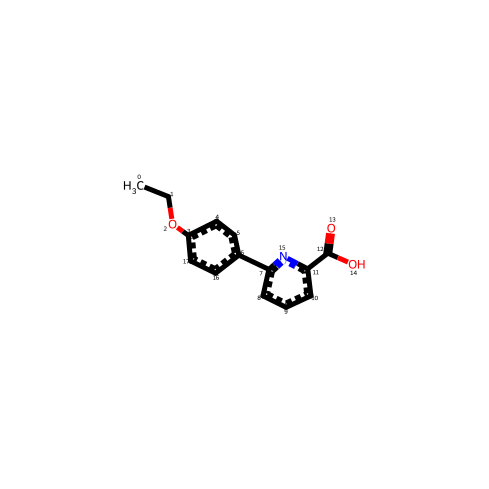 CCOc1ccc(-c2cccc(C(=O)O)n2)cc1